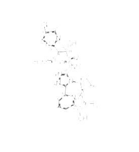 COc1cccc(-c2nnc(NS(=O)(=O)[C@@H](C)[C@H](OC)c3ncc(Cl)cn3)n2[C@H]2CC[C@@H]2OC)n1